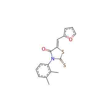 Cc1cccc(N2C(=O)C(=Cc3ccco3)SC2=S)c1C